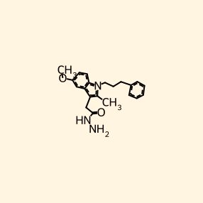 COc1ccc2c(c1)c(CC(=O)NN)c(C)n2CCCc1ccccc1